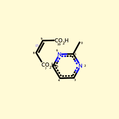 Cc1ncccn1.O=C(O)/C=C\C(=O)O